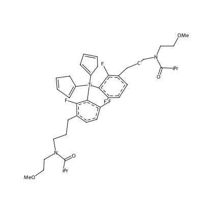 COCCN(CCCc1ccc(F)[c]([Ti]([C]2=CC=CC2)([C]2=CC=CC2)[c]2c(F)ccc(CCCN(CCOC)C(=O)C(C)C)c2F)c1F)C(=O)C(C)C